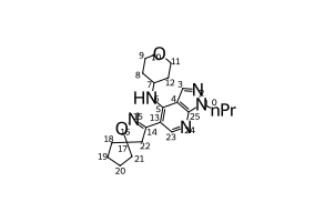 CCCn1ncc2c(NC3CCOCC3)c(C3=NOC4(CCCC4)C3)cnc21